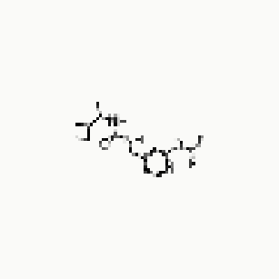 CC(NC(=O)NCc1ccnc(OC(F)F)c1)C1CCC1